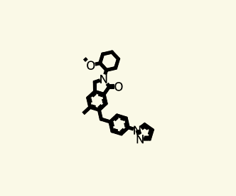 COC1CCCCC1N1Cc2cc(C)c(Cc3ccc(-n4cccn4)cc3)cc2C1=O